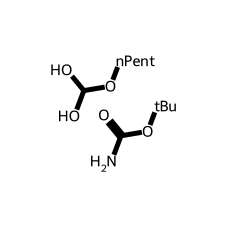 CC(C)(C)OC(N)=O.CCCCCOC(O)O